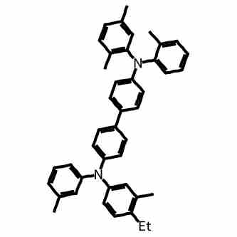 CCc1ccc(N(c2ccc(-c3ccc(N(c4ccccc4C)c4cc(C)ccc4C)cc3)cc2)c2cccc(C)c2)cc1C